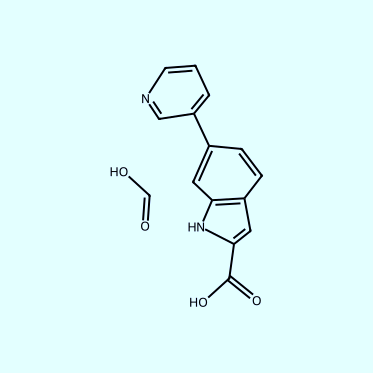 O=C(O)c1cc2ccc(-c3cccnc3)cc2[nH]1.O=CO